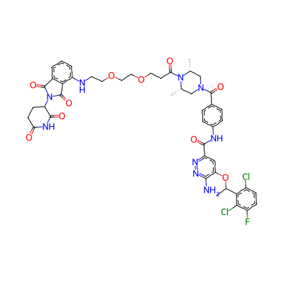 CC(Oc1cc(C(=O)Nc2ccc(C(=O)N3C[C@@H](C)N(C(=O)CCOCCOCCNc4cccc5c4C(=O)N(C4CCC(=O)NC4=O)C5=O)[C@@H](C)C3)cc2)nnc1N)c1c(Cl)ccc(F)c1Cl